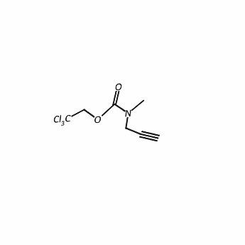 C#CCN(C)C(=O)OCC(Cl)(Cl)Cl